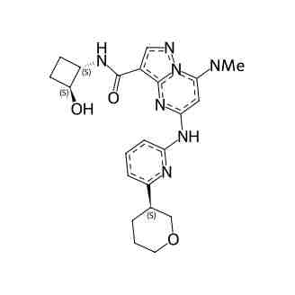 CNc1cc(Nc2cccc([C@@H]3CCCOC3)n2)nc2c(C(=O)N[C@H]3CC[C@@H]3O)cnn12